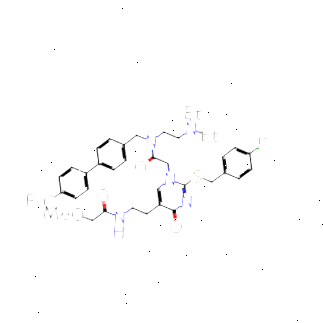 CCN(CC)CCN(Cc1ccc(-c2ccc(C(F)(F)F)cc2)cc1)C(=O)Cn1cc(CCNC(=O)COC)c(=O)nc1SCc1ccc(F)cc1